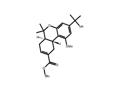 CCCC(C)(C)c1cc(OC)c2c(c1)OC(C)(C)[C@@H]1CC=C(C(=O)OC(C)(C)C)C[C@@H]21